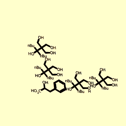 CCCCC(O)(CCCC)C(CO)(CO)CO.CCCCC(O)(CCCC)C(CO)(CO)CO.CCCCC(O)(CCCC)C(CO)(CO)CO.CCCCC(O)(CCCC)C(CO)(CO)CO.O=C(O)C(O)Cc1ccccc1